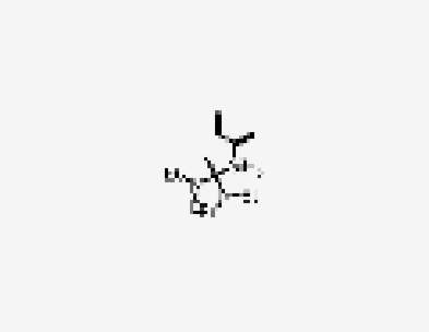 C=CC(=C)[SiH2]C(C)(N(CC)CC)N(CC)CC